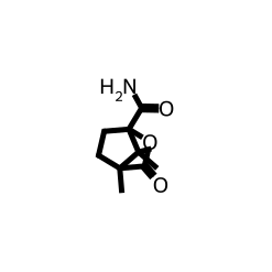 CC12CCC(C(N)=O)(OC1=O)C2(C)C